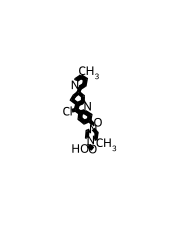 Cc1ccc(C2CCc3c(nc4cc(C(=O)N5CCN(C(=O)O)[C@H](C)C5)ccc4c3Cl)C2)nc1